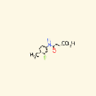 Cc1ccc(NC(=O)C=CC(=O)O)cc1F